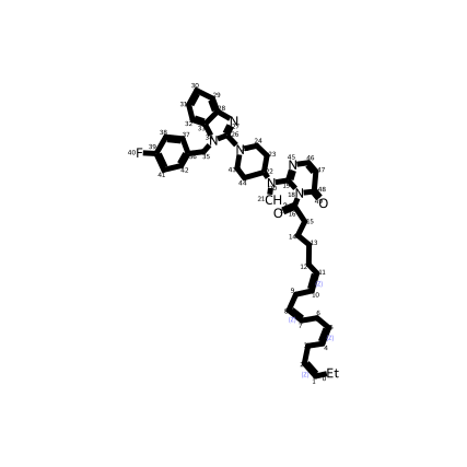 CC/C=C\C/C=C\C/C=C\C/C=C\CCCCC(=O)n1c(N(C)C2CCN(c3nc4ccccc4n3Cc3ccc(F)cc3)CC2)nccc1=O